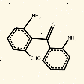 Nc1ccccc1C(=O)c1c(N)cccc1[C]=O